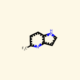 FC(F)(F)c1ccc2[nH][c]cc2n1